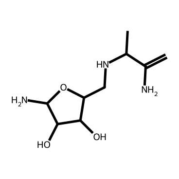 C=C(N)C(C)NCC1OC(N)C(O)C1O